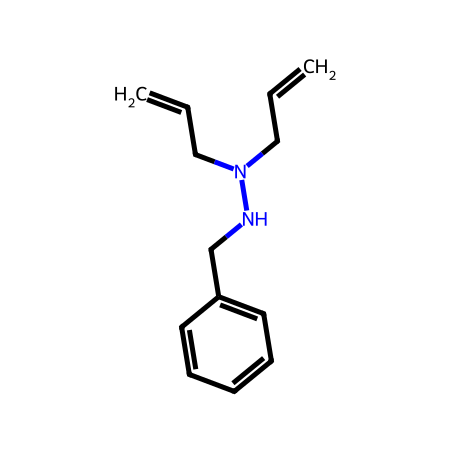 C=CCN(CC=C)NCc1ccccc1